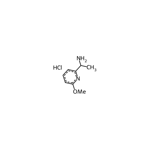 COc1cccc(C(C)N)n1.Cl